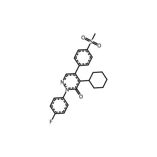 CS(=O)(=O)c1ccc(-c2cnn(-c3ccc(F)cc3)c(=O)c2C2CCCCC2)cc1